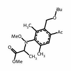 CCC(C)OCc1c(C(C)=O)cc(C)c(N(OC)C(C)C(=O)OC)c1C